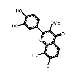 COc1c(-c2ccc(O)c(O)c2)oc2c(O)c(O)ccc2c1=O